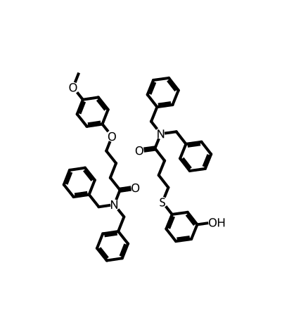 COc1ccc(OCCCC(=O)N(Cc2ccccc2)Cc2ccccc2)cc1.O=C(CCCSc1cccc(O)c1)N(Cc1ccccc1)Cc1ccccc1